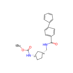 CC(C)(C)OC(=O)N[C@H]1CC[C@@H](CNC(=O)c2ccc(-c3ccccc3)cc2)C1